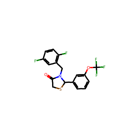 O=C1CSC(c2cccc(OC(F)(F)F)c2)N1Cc1cc(F)ccc1F